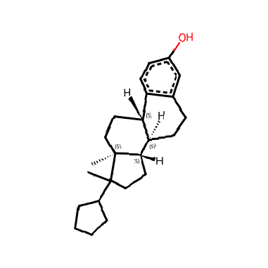 CC1(C2CCCC2)CC[C@H]2[C@@H]3CCc4cc(O)ccc4[C@H]3CC[C@@]21C